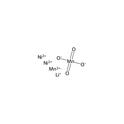 [Li+].[Mn+2].[Ni+2].[Ni+2].[O]=[Mn](=[O])([O-])[O-]